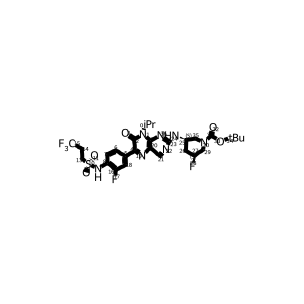 CC(C)n1c(=O)c(-c2ccc(NS(=O)(=O)CCC(F)(F)F)c(F)c2)nc2cnc(N[C@H]3C[C@H](F)CN(C(=O)OC(C)(C)C)C3)nc21